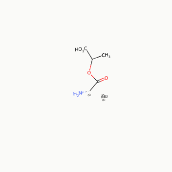 CC[C@H](C)[C@H](N)C(=O)OC(C)C(=O)O